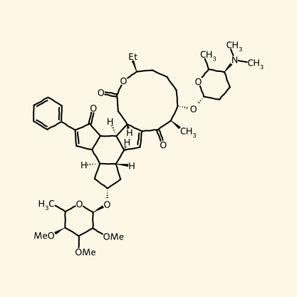 CC[C@H]1CCC[C@H](O[C@H]2CC[C@H](N(C)C)C(C)O2)[C@@H](C)C(=O)C2=C[C@H]3[C@@H]4C[C@H](O[C@@H]5OC(C)[C@H](OC)C(OC)C5OC)C[C@H]4C4C=C(c5ccccc5)C(=O)C4[C@H]3[C@@H]2CC(=O)O1